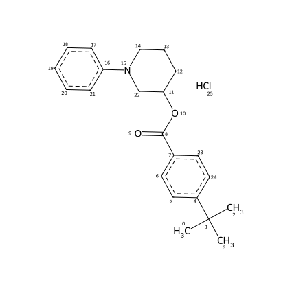 CC(C)(C)c1ccc(C(=O)OC2CCCN(c3ccccc3)C2)cc1.Cl